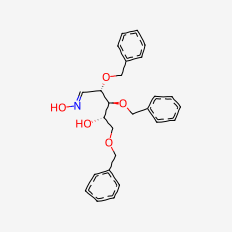 O/N=C/[C@H](OCc1ccccc1)[C@@H](OCc1ccccc1)[C@@H](O)COCc1ccccc1